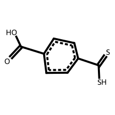 O=C(O)c1ccc(C(=S)S)cc1